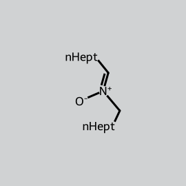 CCCCCCCC=[N+]([O-])CCCCCCCC